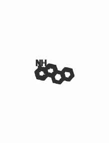 Nc1cccc2c3c(ccc12)C1=C(CCC=C1)CC3